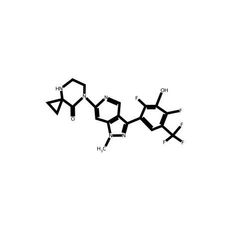 Cn1nc(-c2cc(C(F)(F)F)c(F)c(O)c2F)c2cnc(N3CCNC4(CC4)C3=O)cc21